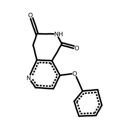 O=C1Cc2nccc(Oc3ccccc3)c2C(=O)N1